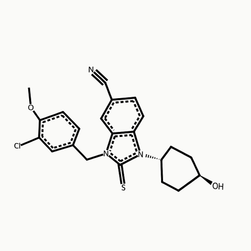 COc1ccc(Cn2c(=S)n([C@H]3CC[C@H](O)CC3)c3ccc(C#N)cc32)cc1Cl